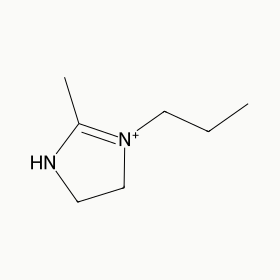 CCC[N+]1=C(C)NCC1